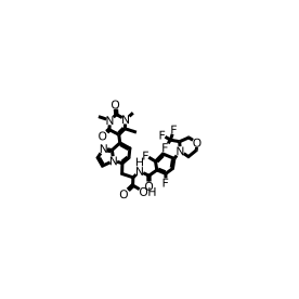 Cc1c(-c2ccc(CC(NC(=O)c3c(F)cc(N4CCOCC4C(F)(F)F)cc3F)C(=O)O)n3ccnc23)c(=O)n(C)c(=O)n1C